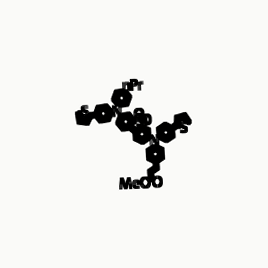 CCCc1ccc(N(c2ccc(-c3cccs3)cc2)c2ccc3c(c2)S(=O)(=O)c2cc(N(c4ccc(CCC(=O)OC)cc4)c4ccc(-c5cccs5)cc4)ccc2-3)cc1